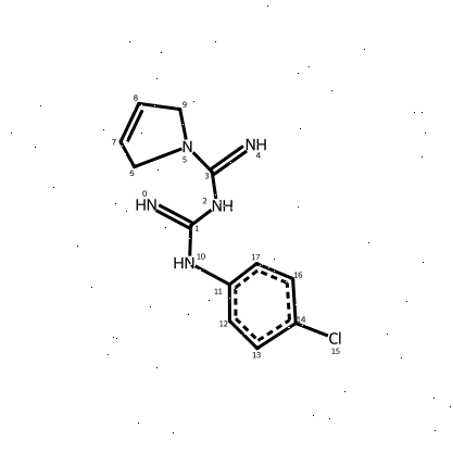 N=C(NC(=N)N1CC=CC1)Nc1ccc(Cl)cc1